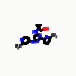 OCC1(Nc2cc(Nc3ccnc(C(F)(F)F)c3)nc(-c3cccc(C(F)(F)F)n3)n2)CC1